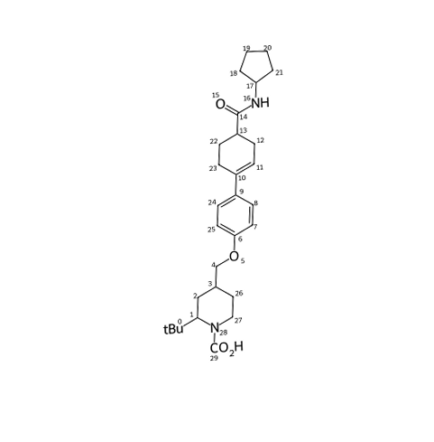 CC(C)(C)C1CC(COc2ccc(C3=CCC(C(=O)NC4CCCC4)CC3)cc2)CCN1C(=O)O